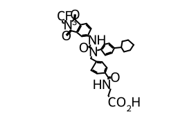 O=C(O)CCNC(=O)c1ccc(CN(C(=O)Nc2ccc3c(c2)C(=O)N(CC(F)(F)F)C3=O)c2ccc(C3CCCCC3)cc2)cc1